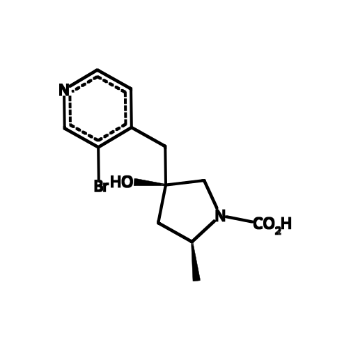 C[C@H]1C[C@](O)(Cc2ccncc2Br)CN1C(=O)O